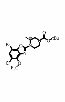 C[C@H]1CN(C(=O)OC(C)(C)C)CCN1c1nc2c(OC(F)(F)F)c(Cl)cc(Br)c2o1